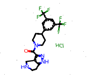 Cl.O=C(c1n[nH]c2c1CNCC2)N1CCC(c2cc(C(F)(F)F)cc(C(F)(F)F)c2)CC1